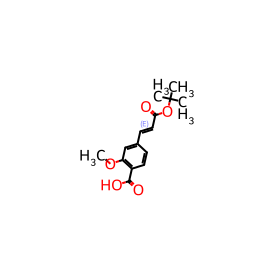 COc1cc(/C=C/C(=O)OC(C)(C)C)ccc1C(=O)O